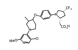 COc1cc(N2CCC(Oc3ccc(N4C[C@H](C(F)(F)F)C[C@@H]4CC(=O)O)cc3)C(C)C2)c(Cl)cn1